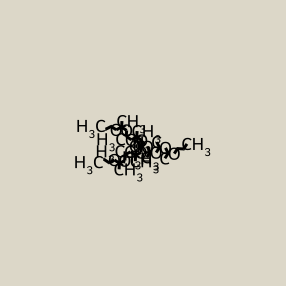 CCCOC(C)OC(C)OC(C)OP(=O)(OC(C)OC(C)OC(C)OCCC)OC(C)OC(C)OC(C)OCCC